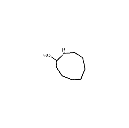 OC1CCCCCCCP1